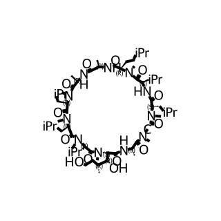 CC(C)CC[C@@H]1C(=O)N[C@H](C)C(=O)N[C@H](C)C(=O)N(C)[C@H](CC(C)C)C(=O)N(C)[C@H](CC(C)C)C(=O)N(C)[C@H](C(C)C)C(=O)N(C)[C@@H]([C@H](O)[C@H](C)CCO)C(=O)N[C@@H](C)C(=O)N(C)CC(=O)N(C)[C@@H](CC(C)C)C(=O)N[C@H](C(C)C)C(=O)N1C